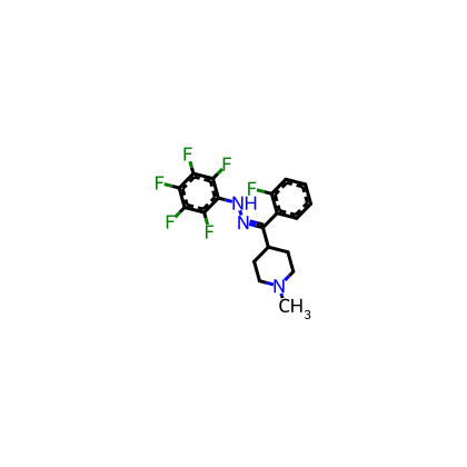 CN1CCC(C(=NNc2c(F)c(F)c(F)c(F)c2F)c2ccccc2F)CC1